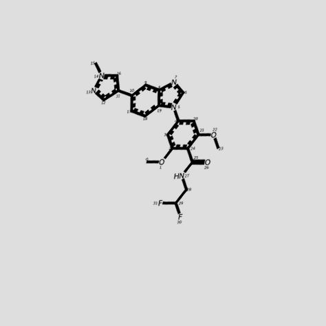 COc1cc(-n2cnc3cc(-c4cnn(C)c4)ccc32)cc(OC)c1C(=O)NCC(F)F